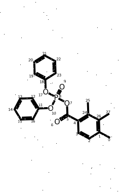 Cc1ccc(C(=O)OP(=O)(Oc2ccccc2)Oc2ccccc2)c(C)c1C